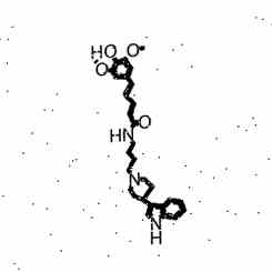 COc1cc(/C=C/C=C/C(=O)NCCCCN2CCC(c3c[nH]c4ccccc34)CC2)cc(OC)c1O